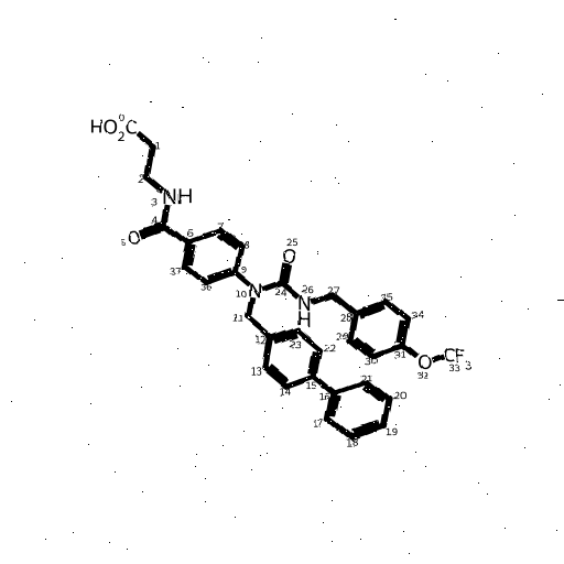 O=C(O)CCNC(=O)c1ccc(N(Cc2ccc(-c3ccccc3)cc2)C(=O)NCc2ccc(OC(F)(F)F)cc2)cc1